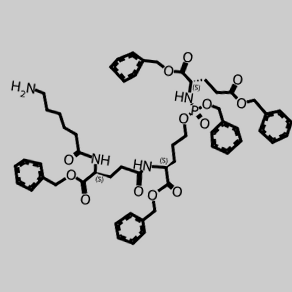 NCCCCCC(=O)N[C@@H](CCC(=O)N[C@@H](CCCOP(=O)(N[C@@H](CCC(=O)OCc1ccccc1)C(=O)OCc1ccccc1)OCc1ccccc1)C(=O)OCc1ccccc1)C(=O)OCc1ccccc1